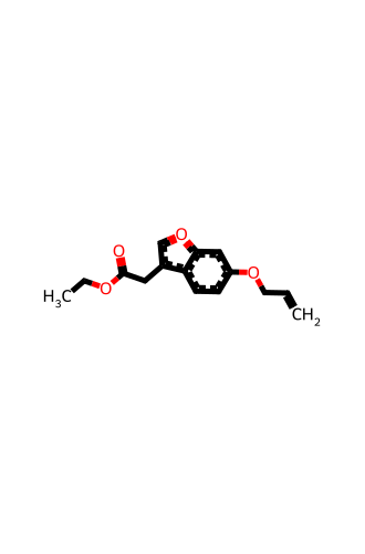 C=CCOc1ccc2c(CC(=O)OCC)coc2c1